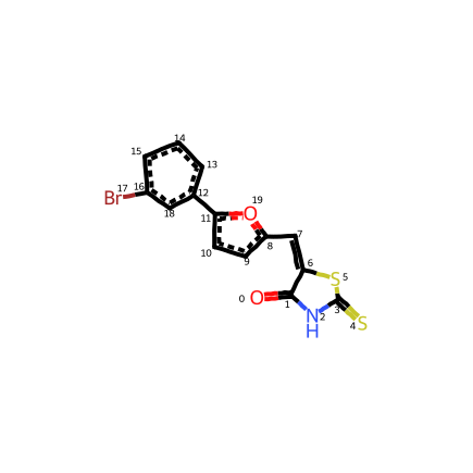 O=C1NC(=S)SC1=Cc1ccc(-c2cccc(Br)c2)o1